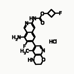 Cc1c(-c2cc3cc(NC(=O)OC4CC(F)C4)ncc3c(N)c2F)cnc2c1NCCO2.Cl